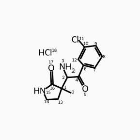 CC1(C(N)C(=O)c2cccc(Cl)c2)CCNC1=O.Cl